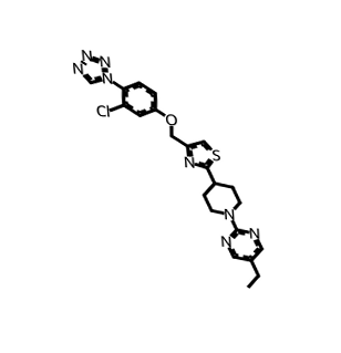 CCc1cnc(N2CCC(c3nc(COc4ccc(-n5cnnn5)c(Cl)c4)cs3)CC2)nc1